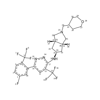 Fc1ccc(C(F)(F)F)c(-c2cc(C(F)(F)F)c(N[C@H]3C[C@@H]4CN(CC5CCOCC5)C[C@@H]4C3)nn2)c1